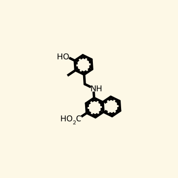 Cc1c(O)cccc1CNc1cc(C(=O)O)cc2ccccc12